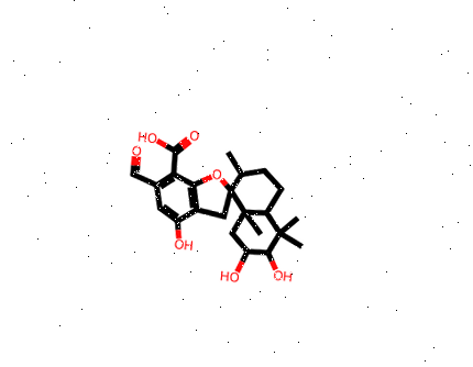 CC1CCC2C(C)(C)C(O)C(O)CC2(C)C12Cc1c(O)cc(C=O)c(C(=O)O)c1O2